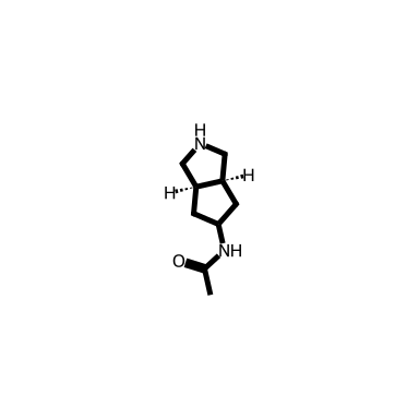 CC(=O)NC1C[C@H]2CNC[C@H]2C1